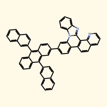 c1ccc2cc(-c3c4ccccc4c(-c4ccc5ccccc5c4)c4cc(-c5ccc6c7ccc8cccnc8c7c7nc8ccccc8n7c6c5)ccc34)ccc2c1